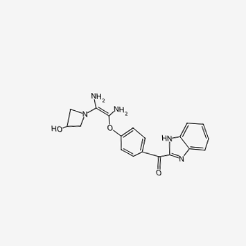 N/C(Oc1ccc(C(=O)c2nc3ccccc3[nH]2)cc1)=C(\N)N1CC(O)C1